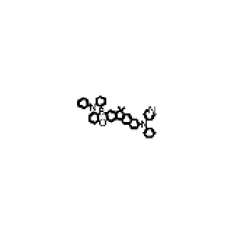 CC1(C)c2cc3c(cc2-c2cc4ccc(N(c5ccccc5)c5ccncc5)cc4cc21)Oc1cccc2c1B3c1ccccc1N2c1ccccc1